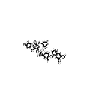 COc1cc2nccc(Oc3ccc(NC(=O)Oc4cn(Cc5ccccc5)c(=O)n(-c5ccc(F)cc5)c4=O)cc3F)c2cc1OC